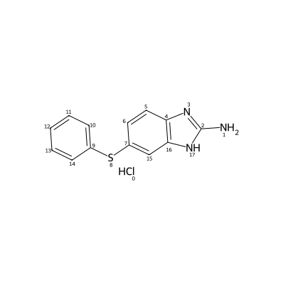 Cl.Nc1nc2ccc(Sc3ccccc3)cc2[nH]1